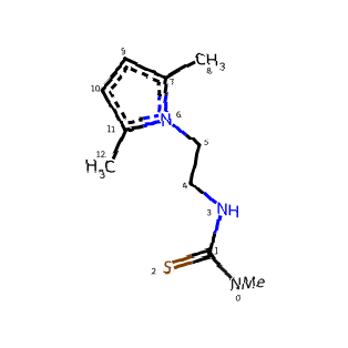 CNC(=S)NCCn1c(C)ccc1C